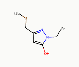 CC(C)Cn1nc(CSC(C)(C)C)cc1O